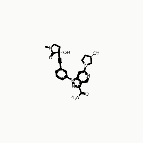 CN1CC[C@@](O)(C#Cc2cccc(-n3nc(C(N)=O)c4cnc(N5CC[C@H](O)C5)cc43)c2)C1=O